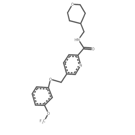 O=C(NCC1CCOCC1)c1ccc(COc2cccc(OC(F)(F)F)c2)cn1